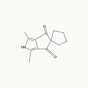 Cc1[nH]c(C)c2c1C(=O)C1(CCCC1)C2=O